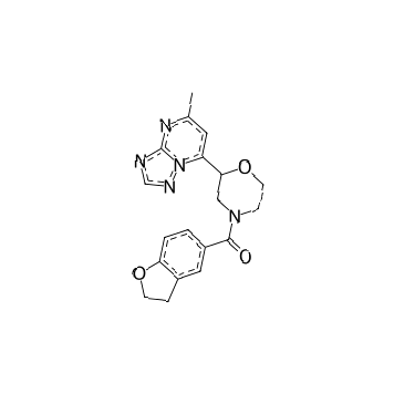 Cc1cc(C2CN(C(=O)c3ccc4c(c3)CCO4)CCO2)n2ncnc2n1